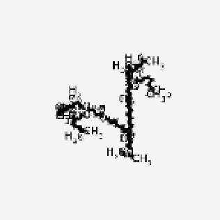 CCN(CC)CCCC(=O)OC(CCCCCCOC(=O)CCC(OCCC(C)CCC=C(C)C)OCCC(C)CCC=C(C)C)CCCCCCOC(=O)CCC(OCCC(C)CCC=C(C)C)OCCC(C)CCC=C(C)C